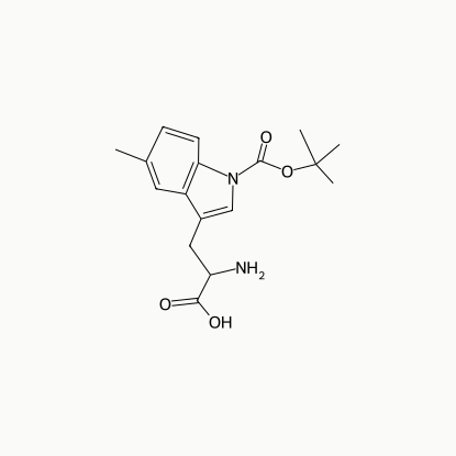 Cc1ccc2c(c1)c(CC(N)C(=O)O)cn2C(=O)OC(C)(C)C